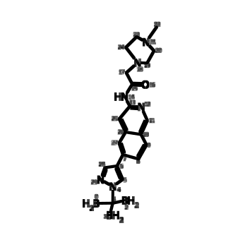 BC(B)(B)n1cc(-c2ccc3cnc(NC(=O)CN4CCN(C)CC4)cc3c2)cn1